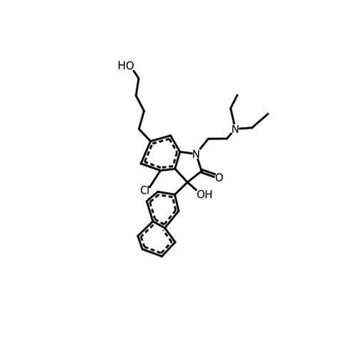 CCN(CC)CCN1C(=O)C(O)(c2ccc3ccccc3c2)c2c(Cl)cc(CCCCO)cc21